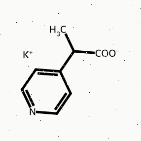 CC(C(=O)[O-])c1ccncc1.[K+]